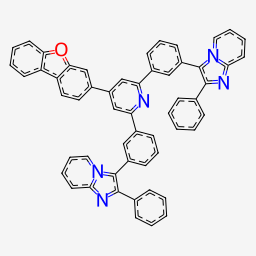 c1ccc(-c2nc3ccccn3c2-c2cccc(-c3cc(-c4ccc5c(c4)oc4ccccc45)cc(-c4cccc(-c5c(-c6ccccc6)nc6ccccn56)c4)n3)c2)cc1